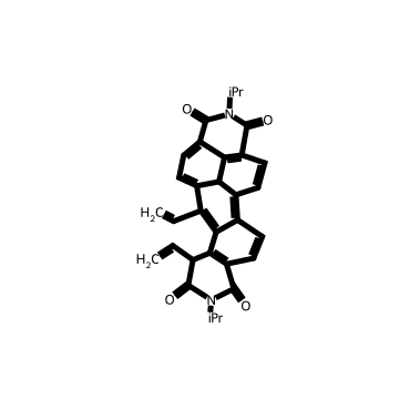 C=CC1=c2c3c(ccc2=C2C=CC4=C5C(=CC=C1C52)C(=O)N(C(C)C)C4=O)C(=O)N(C(C)C)C(=O)C3C=C